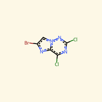 Clc1nc(Cl)c2nc(Br)cn2n1